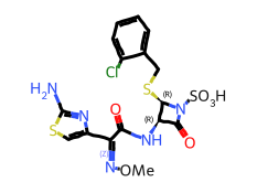 CO/N=C(\C(=O)N[C@@H]1C(=O)N(S(=O)(=O)O)[C@@H]1SCc1ccccc1Cl)c1csc(N)n1